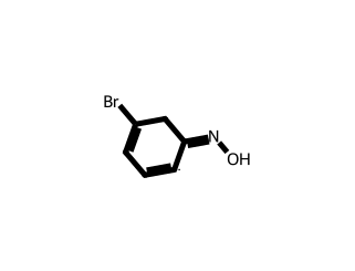 ON=C1[C]=CC=C(Br)C1